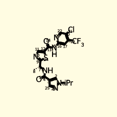 CC(C)n1cc(C(=O)N[C@H](C)c2ncc(C(=O)Nc3cc(C(F)(F)F)c(Cl)cn3)s2)cn1